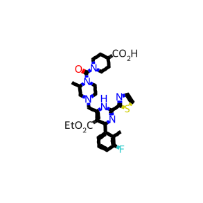 CCOC(=O)C1=C(CN2CCN(C(=O)N3CCC(C(=O)O)CC3)C(C)C2)NC(c2nccs2)=NC1c1cccc(F)c1C